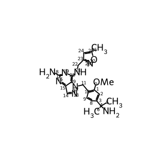 COc1cc(C(C)(C)N)ccc1Cn1ncc2nc(N)nc(NCc3cc(C)on3)c21